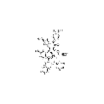 Cc1c(C(=O)N(c2ccc(O)c(F)c2)c2cnn(C)c2)cc(-c2cc(Cl)ccc2C(=O)N2Cc3ccccc3C[C@H]2CN2CCOCC2)n1C.Cl